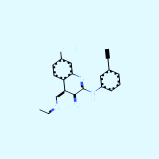 C#Cc1cccc(NC2=Nc3cc(C(=O)O)ccc3/C(=C/N=C\C)C2=N)c1